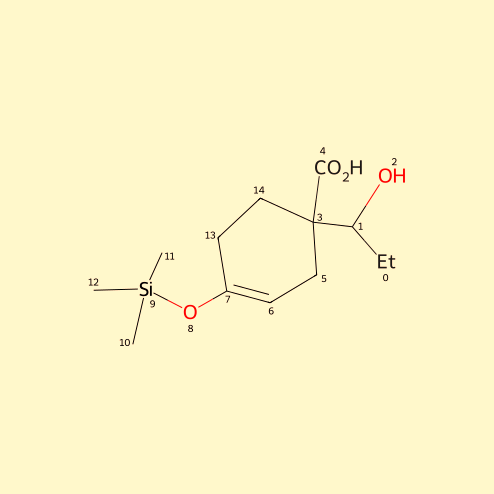 CCC(O)C1(C(=O)O)CC=C(O[Si](C)(C)C)CC1